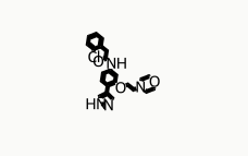 O=C(Cc1ccccc1Cl)Nc1ccc(-c2cn[nH]c2)c(OCCN2CCOCC2)c1